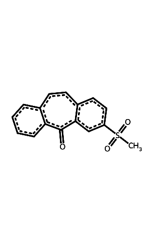 CS(=O)(=O)c1ccc2ccc3ccccc3c(=O)c2c1